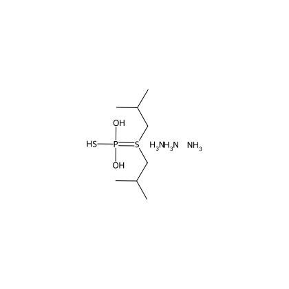 CC(C)CS(CC(C)C)=P(O)(O)S.N.N.N